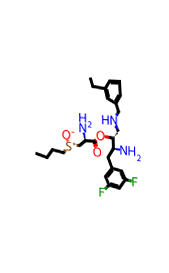 CCCC[S+]([O-])C[C@@H](N)C(=O)O[C@H](CNCc1cccc(CC)c1)[C@@H](N)Cc1cc(F)cc(F)c1